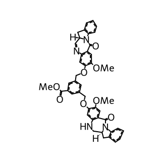 COC(=O)c1cc(COc2cc3c(cc2OC)C(=O)N2c4ccccc4C[C@H]2C=N3)cc(COc2cc3c(cc2OC)C(=O)N2c4ccccc4C[C@H]2CN3)c1